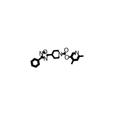 Cc1cc(C)c(OC(=O)N2CCC(c3nc(-c4ccccc4)no3)CC2)cn1